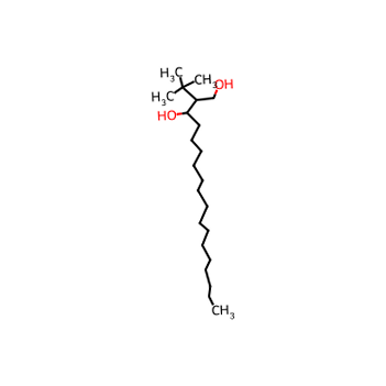 CCCCCCCCCCCCCCCC(O)C(CO)C(C)(C)C